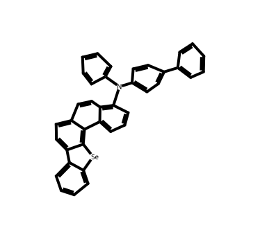 c1ccc(-c2ccc(N(c3ccccc3)c3cccc4c3ccc3ccc5c6ccccc6[se]c5c34)cc2)cc1